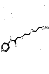 COCCOCCOCC(=O)Nc1ccncc1